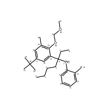 CCCCC(CC)(Pc1ccccc1F)c1cc(C(C)(C)C)cc(C)c1OCOC